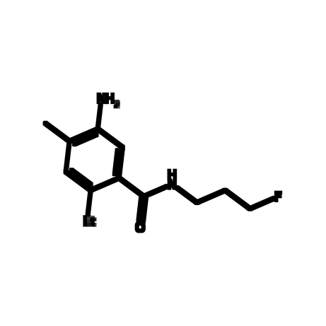 CCc1cc(C)c(N)cc1C(=O)NCCCF